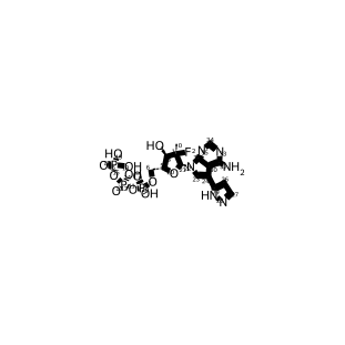 C[C@@]1(F)[C@H](O)[C@@H](COP(=O)(O)OP(=O)(O)OP(=O)(O)O)O[C@H]1n1cc(-c2ccn[nH]2)c2c(N)ncnc21